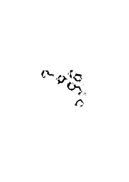 CC(C)(C)N1CCC(N2C=C([C@@H](Nc3cc(Cl)c4ncc(C#N)c(Nc5ccc(OCc6ccccn6)c(Cl)c5)c4c3)c3ccccc3)NN2)CC1